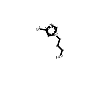 OCCCn1cnc(Br)c1